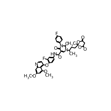 COc1cc(OC)c2c(Oc3ccc(NC(=O)c4cn(C(C)CCC5(C)OC(=O)CC(=O)O5)c(=O)n(-c5ccc(F)cc5)c4=O)cc3F)ccnc2c1